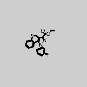 CCOC(=O)c1nn(-c2cccc(F)c2)c2c1CSc1ccccc1-2